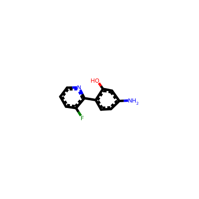 Nc1ccc(-c2ncccc2F)c(O)c1